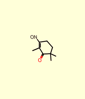 CC1=C(N=O)CCC(C)(C)C1=O